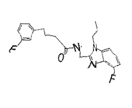 CCCn1c(C[N]C(=O)CCCc2cccc(F)c2)nc2c(F)cccc21